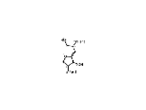 CCCCCC(/C=C1\OCC(CCCCC)C1O)CO